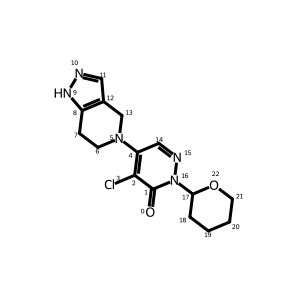 O=c1c(Cl)c(N2CCc3[nH]ncc3C2)cnn1C1CCCCO1